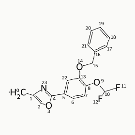 [CH2]c1coc(-c2ccc(OC(F)F)c(OCc3ccccc3)c2)n1